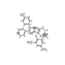 Cc1cc(C)c(CC2(c3nc(-c4ccncc4)c(-c4ccc(Cl)cc4)[nH]3)CNCCO2)c(C)c1